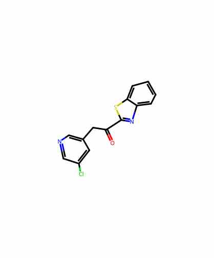 O=C(Cc1cncc(Cl)c1)c1nc2ccccc2s1